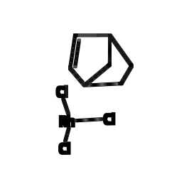 C1=CC2CCC1C2.[Cl][Rh]([Cl])[Cl]